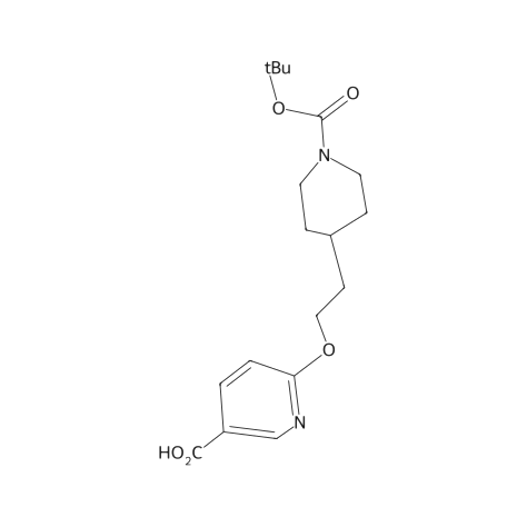 CC(C)(C)OC(=O)N1CCC(CCOc2ccc(C(=O)O)cn2)CC1